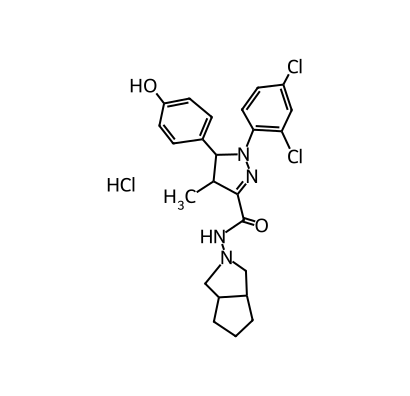 CC1C(C(=O)NN2CC3CCCC3C2)=NN(c2ccc(Cl)cc2Cl)C1c1ccc(O)cc1.Cl